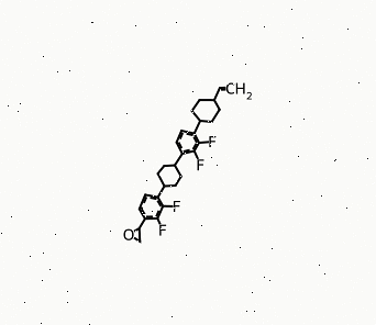 C=CC1CCC(c2ccc(C3CCC(c4ccc(C5CO5)c(F)c4F)CC3)c(F)c2F)CC1